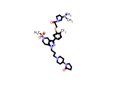 CN(C)C1CCN(C(=O)CSc2cc(-c3nn(CCCN4CCC(N5CCCC5=O)CC4)c4c3CN(S(C)(=O)=O)CC4)ccc2C(F)(F)F)C1